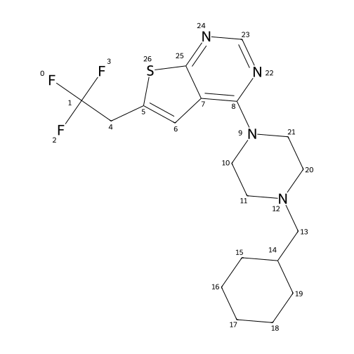 FC(F)(F)Cc1cc2c(N3CCN(CC4CCCCC4)CC3)ncnc2s1